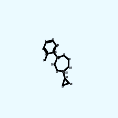 Cc1cccnc1N1CCCN(C2CC2)CC1